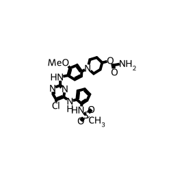 COc1cc(N2CCC(OC(N)=O)CC2)ccc1Nc1ncc(Cl)c(Nc2ccccc2NS(C)(=O)=O)n1